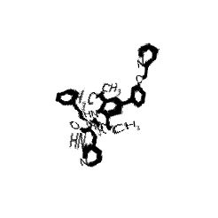 CC(C)c1cc(-c2cccc(OCc3ccccn3)c2)cc(C(C)C)c1NC(=O)N(CCc1ccccc1)c1cc2cccnc2[nH]c1=O